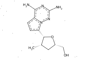 C[C@H]1C[C@@H](CO)O[C@H]1c1ccc2c(N)nc(N)nn12